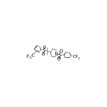 CC(C)(C1CCN(S(=O)(=O)c2ccc(C(F)(F)F)cc2)CC1)S(=O)(=O)c1cccc(C(F)(F)F)c1